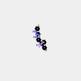 NC(c1ccc(F)cc1)C1CCCCN1C(=O)c1ccc(Nc2nccc(Nc3ccc(F)cc3)n2)cc1